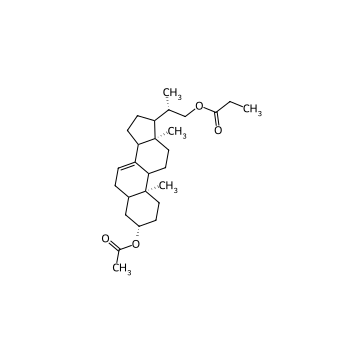 CCC(=O)OC[C@@H](C)C1CCC2C3=CCC4C[C@@H](OC(C)=O)CC[C@]4(C)C3CC[C@@]21C